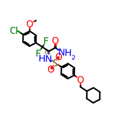 COc1cc(C(F)(F)[C@@H](NS(=O)(=O)c2ccc(OCC3CCCCC3)cc2)C(N)=O)ccc1Cl